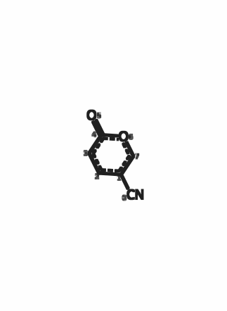 N#Cc1ccc(=O)oc1